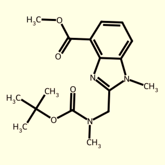 COC(=O)c1cccc2c1nc(CN(C)C(=O)OC(C)(C)C)n2C